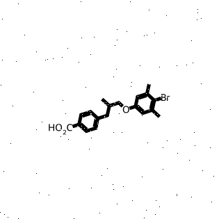 Cc1cc(OCC(C)Cc2ccc(C(=O)O)cc2)cc(C)c1Br